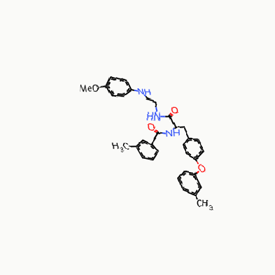 COc1ccc(NCCNC(=O)C(Cc2ccc(Oc3cccc(C)c3)cc2)NC(=O)c2cccc(C)c2)cc1